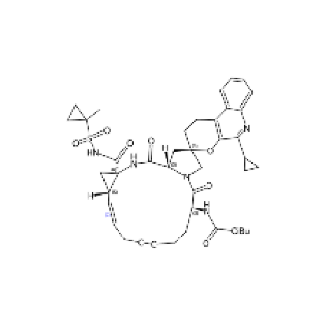 CC(C)COC(=O)N[C@H]1CCCCC/C=C\[C@@H]2C[C@@]2(C(=O)NS(=O)(=O)C2(C)CC2)NC(=O)[C@@H]2C[C@]3(CCc4c(c(C5CC5)nc5ccccc45)O3)CN2C1=O